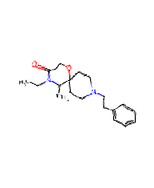 CCN1C(=O)COC2(CCN(CCc3ccccc3)CC2)C1C